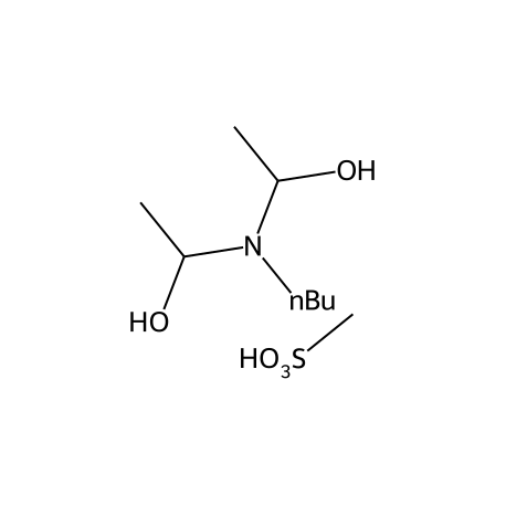 CCCCN(C(C)O)C(C)O.CS(=O)(=O)O